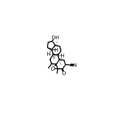 CC1C[C@@H]2[C@@H](CC[C@]3(C)C(O)CC[C@@H]23)[C@@]2(C)CC(C#N)C(=O)C3(C)OC132